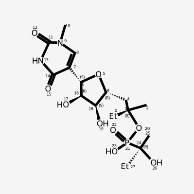 CC[C@](C)(C[C@H]1O[C@@H](c2cn(C)c(=O)[nH]c2=O)[C@H](O)[C@@H]1O)OP(=O)(O)[C@@](C)(O)CC